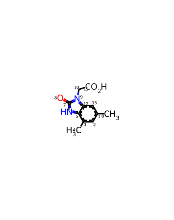 Cc1cc(C)c2[nH]c(=O)n(CC(=O)O)c2c1